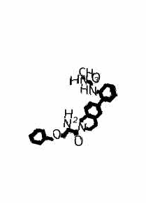 CNC(=O)Nc1ccccc1-c1ccc2c(c1)CCN(C(=O)C(N)COCc1ccccc1)C2